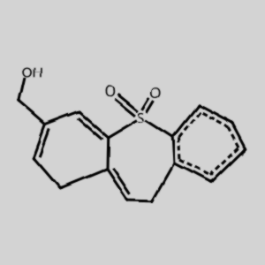 O=S1(=O)C2=CC(CO)=CCC2=CCc2ccccc21